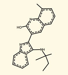 CCC(C)(C)Nc1c(-c2cc3cccc(C)c3nc2O)nc2ccccn12